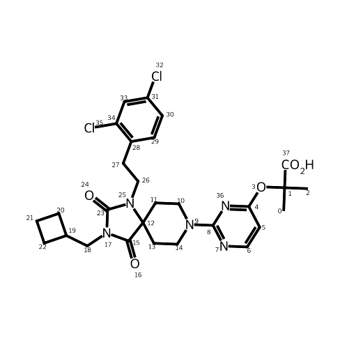 CC(C)(Oc1ccnc(N2CCC3(CC2)C(=O)N(CC2CCC2)C(=O)N3CCc2ccc(Cl)cc2Cl)n1)C(=O)O